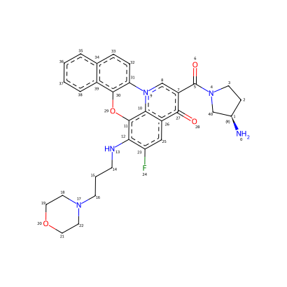 N[C@@H]1CCN(C(=O)c2cn3c4c(c(NCCCN5CCOCC5)c(F)cc4c2=O)Oc2c-3ccc3ccccc23)C1